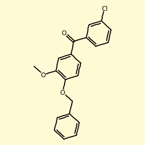 COc1cc(C(=O)c2cccc(Cl)c2)ccc1OCc1ccccc1